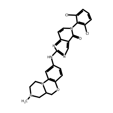 CN1CCN2c3cc(Nc4ncc5c(=O)n(-c6c(Cl)cccc6Cl)ccc5n4)ccc3OCC2C1